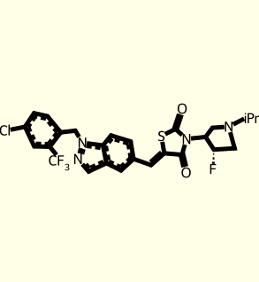 CC(C)N1CC(N2C(=O)S/C(=C\c3ccc4c(cnn4Cc4ccc(Cl)cc4C(F)(F)F)c3)C2=O)[C@@H](F)C1